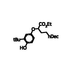 CCCCCCCCCCCCC(Oc1ccc(O)c(C(C)(C)C)c1)C(=O)OCC